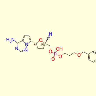 N#C[C@@]1(COP(=O)(O)OCCCOCc2ccccc2)CC[C@H](c2ccc3c(N)ncnn23)O1